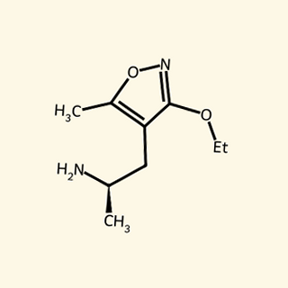 CCOc1noc(C)c1C[C@@H](C)N